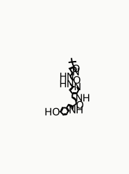 CC(C)(C)c1cc(NC(=O)Nc2cc3cc(C(=O)c4cc5cc(O)ccc5[nH]4)[nH]c3cn2)no1